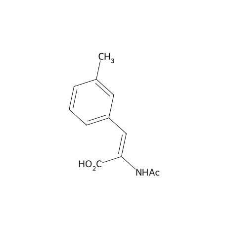 CC(=O)NC(=Cc1cccc(C)c1)C(=O)O